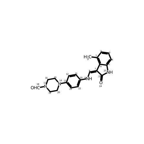 Cc1cccc2c1C(=CNc1ccc(N3CCN(C=O)CC3)cc1)C(=O)N2